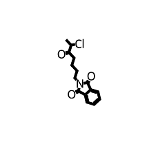 CC(Cl)C(=O)CCCCN1C(=O)c2ccccc2C1=O